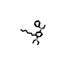 CCCCCCc1cc(N(CC)c2ccccc2)ccc1N(CC)CC